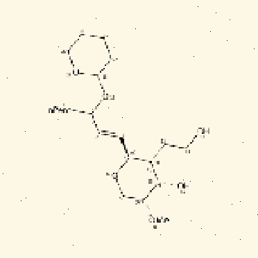 CCCCCC(C=C[C@@H]1OC[C@@H](OC)[C@@H](O)[C@H]1CCO)OC1CCCCO1